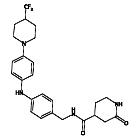 O=C1CC(C(=O)NCc2ccc(Nc3ccc(N4CCC(C(F)(F)F)CC4)cc3)cc2)CCN1